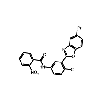 CC(C)c1ccc2oc(-c3cc(NC(=O)c4ccccc4[N+](=O)[O-])ccc3Cl)nc2c1